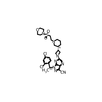 C[C@H](c1ccc(Cl)cc1Cl)n1nc(C#N)c2ncc(N3CC([C@H]4CCCN(CCS(=O)(=O)N5CCOCC5)C4)C3)nc21